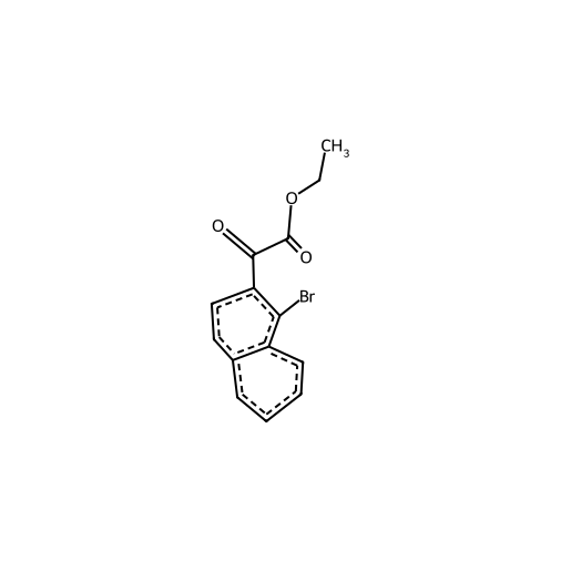 CCOC(=O)C(=O)c1ccc2ccccc2c1Br